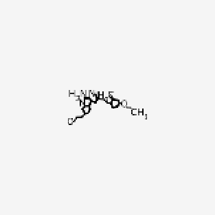 CCCOc1ccc(CCc2cnc3c(N)nc4cc(CCC=O)ccc4c3c2)c(C)c1